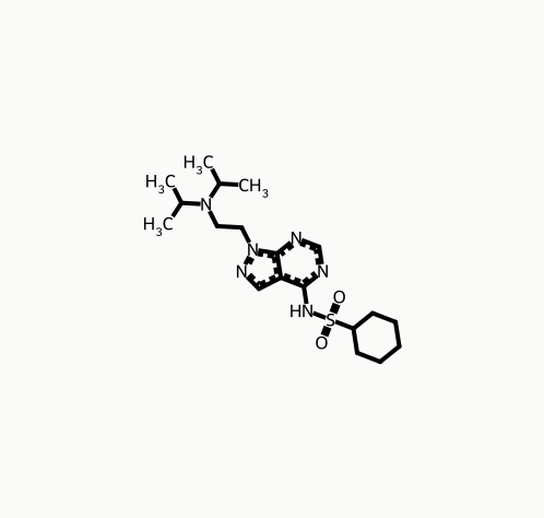 CC(C)N(CCn1ncc2c(NS(=O)(=O)C3CCCCC3)ncnc21)C(C)C